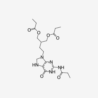 CCC(=O)Nc1nc2c(c(=O)[nH]1)NCN2CCC(COC(=O)CC)COC(=O)CC